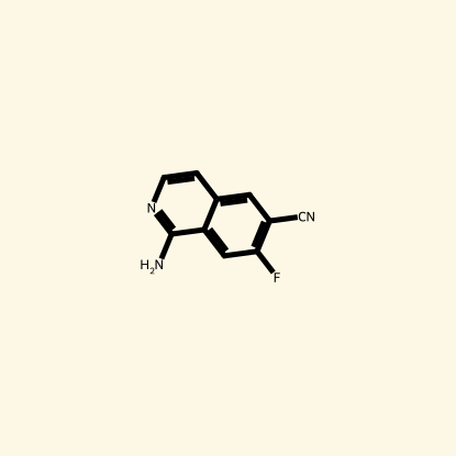 N#Cc1cc2ccnc(N)c2cc1F